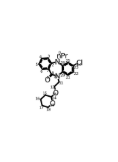 [CH2]CCN1c2ccccc2C(=O)N(CCOC2CCCCO2)c2ccc(Cl)cc21